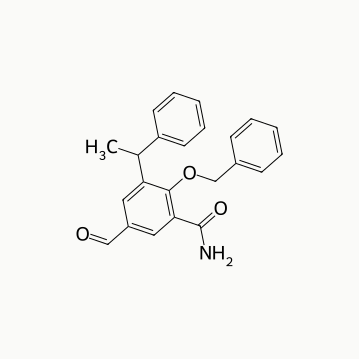 CC(c1ccccc1)c1cc(C=O)cc(C(N)=O)c1OCc1ccccc1